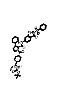 CC(C)(C)OC(=O)N[C@H](CF)[C@H]1CC[C@H](C(=O)N2CC[C@@H](C3CCCCC3)[C@H]2C(=O)Nc2ccc(C(=O)NS(=O)(=O)c3ccccc3)c(F)c2)CC1